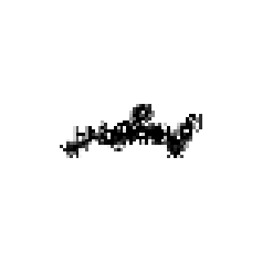 Cc1cc(S(=O)(=O)NC(=O)c2ccc(N3CCN(Cc4ccccc4-c4ccc(Cl)cc4)CC3)cc2Oc2ccccc2)ccc1NCCCCN(C)C